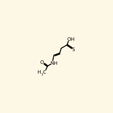 CC(=O)N/C=C/CC(O)=S